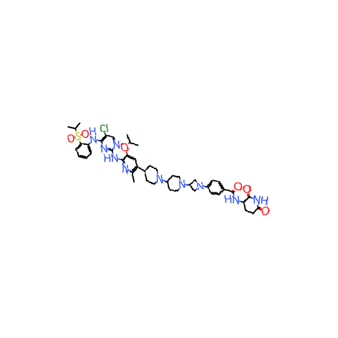 Cc1nc(Nc2ncc(Cl)c(Nc3ccccc3S(=O)(=O)C(C)C)n2)c(OC(C)C)cc1C1CCN(C2CCN(C3CN(c4ccc(C(=O)NC5CCC(=O)NC5=O)cc4)C3)CC2)CC1